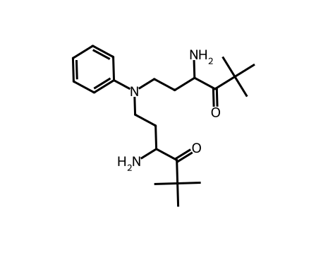 CC(C)(C)C(=O)C(N)CCN(CCC(N)C(=O)C(C)(C)C)c1ccccc1